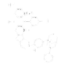 Cc1cc(C)c(B(c2ccc3sc4c(c3c2)CC(C)(c2ccc(C35CC6CC(CC(c7ccccc7)(C6)C3)C5)cc2)C=C4)c2c(C)cc(C)cc2C)c(C)c1